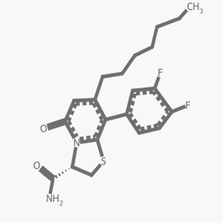 CCCCCCCc1cc(=O)n2c(c1-c1ccc(F)c(F)c1)SC[C@@H]2C(N)=O